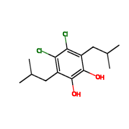 CC(C)Cc1c(O)c(O)c(CC(C)C)c(Cl)c1Cl